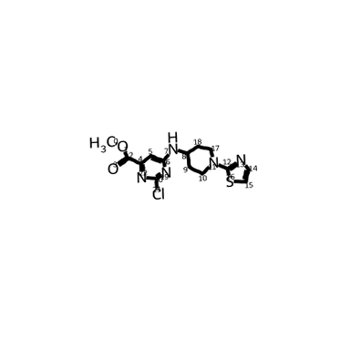 COC(=O)c1cc(NC2CCN(c3nccs3)CC2)nc(Cl)n1